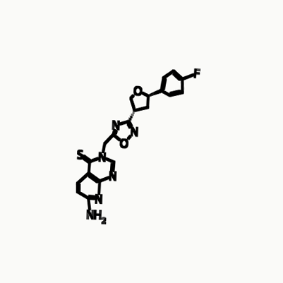 Nc1ccc2c(=S)n(Cc3nc([C@@H]4CO[C@@H](c5ccc(F)cc5)C4)no3)cnc2n1